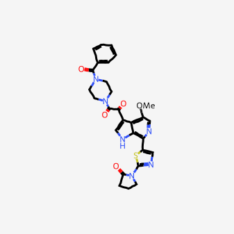 COc1cnc(-c2cnc(N3CCCC3=O)s2)c2[nH]cc(C(=O)C(=O)N3CCN(C(=O)c4ccccc4)CC3)c12